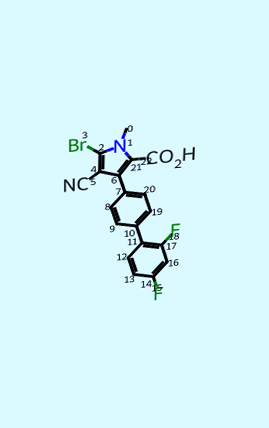 Cn1c(Br)c(C#N)c(-c2ccc(-c3ccc(F)cc3F)cc2)c1C(=O)O